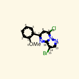 COc1ccccc1-c1cc(Cl)n2ncc(Br)c2n1